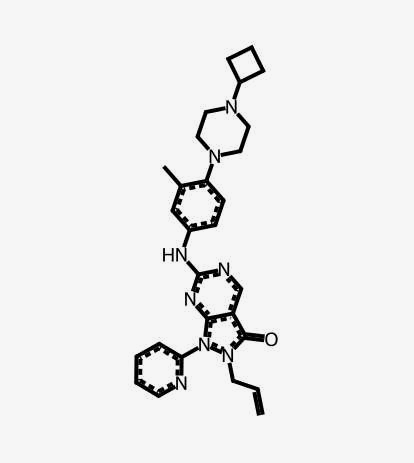 C=CCn1c(=O)c2cnc(Nc3ccc(N4CCN(C5CCC5)CC4)c(C)c3)nc2n1-c1ccccn1